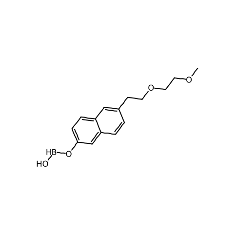 COCCOCCc1ccc2cc(OBO)ccc2c1